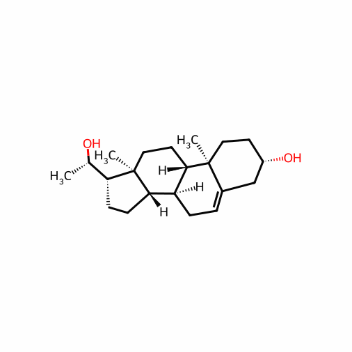 C[C@H](O)[C@H]1CC[C@H]2[C@@H]3CC=C4C[C@@H](O)CC[C@]4(C)[C@H]3CC[C@]12C